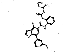 COCC(C)OC(=O)Cc1ccccc1NC(=O)c1cc(-c2ccnc(CN)c2)c2occc2c1F